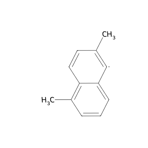 Cc1[c]c2cccc(C)c2cc1